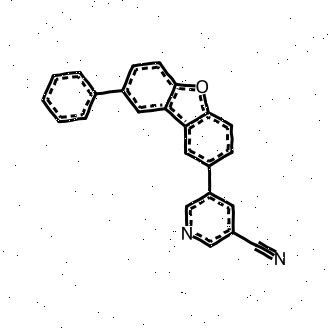 N#Cc1cncc(-c2ccc3oc4ccc(-c5ccccc5)cc4c3c2)c1